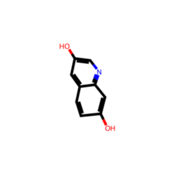 Oc1cnc2cc(O)ccc2c1